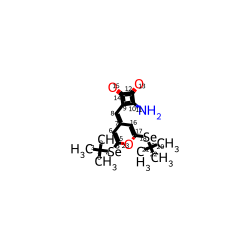 CC(C)(C)[Se]C1=CC(=Cc2c(N)c(=O)c2=O)C=C([Se]C(C)(C)C)O1